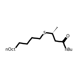 CCCCCCCCCCCCS[C@H](C)CC(=O)CCCC